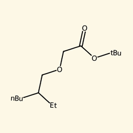 CCCCC(CC)COCC(=O)OC(C)(C)C